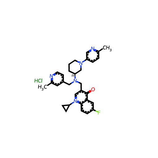 Cc1ccc(N2CCC[C@H](N(Cc3ccnc(C)c3)Cc3cn(C4CC4)c4ccc(F)cc4c3=O)C2)cn1.Cl